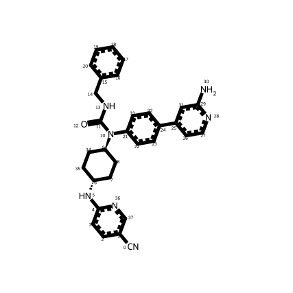 N#Cc1ccc(N[C@H]2CC[C@H](N(C(=O)NCc3ccccc3)c3ccc(-c4ccnc(N)c4)cc3)CC2)nc1